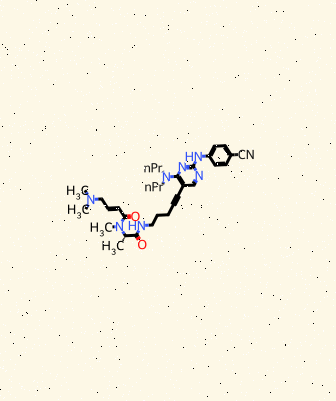 CCCN(CCC)c1nc(Nc2ccc(C#N)cc2)ncc1C#CCCCNC(=O)[C@H](C)N(C)C(=O)/C=C/CN(C)C